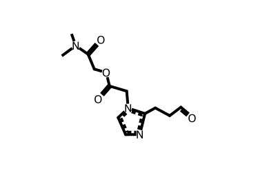 CN(C)C(=O)COC(=O)Cn1ccnc1CCC=O